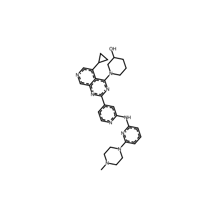 CN1CCN(c2cccc(Nc3cc(-c4nc(N5CCCC(O)C5)c5c(C6CC6)cncc5n4)ccn3)n2)CC1